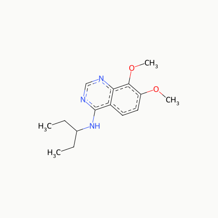 CCC(CC)Nc1ncnc2c(OC)c(OC)ccc12